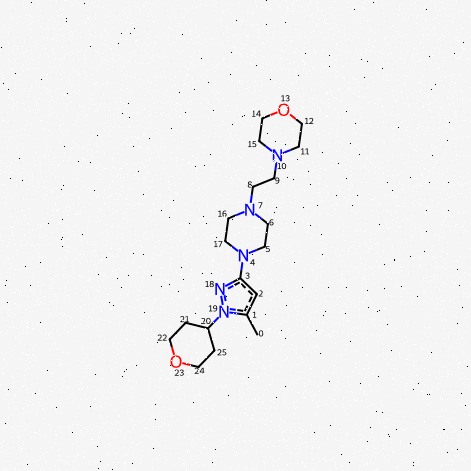 Cc1cc(N2CCN(CCN3CCOCC3)CC2)nn1C1CCOCC1